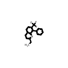 CCc1ccc2ccc(C(F)(F)F)c(-c3ccccc3)c2n1